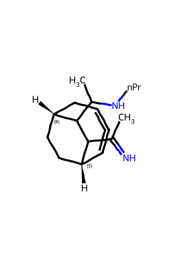 CCCNC(C)C1C(C(C)=N)[C@@H]2C=C=CC[C@H]1CC2